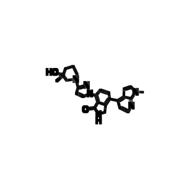 Cn1ccc2c(-c3ccc(-n4ccc(N5CCC[C@@](C)(O)C5)n4)c4c3CNC4=O)ccnc21